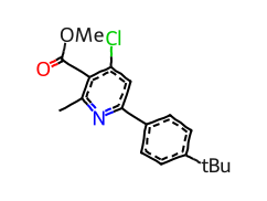 COC(=O)c1c(Cl)cc(-c2ccc(C(C)(C)C)cc2)nc1C